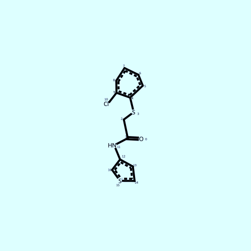 O=C(CSc1ccccc1Cl)Nc1ccsc1